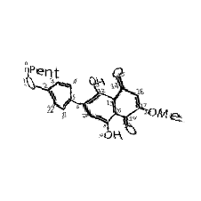 CCCCCOc1ccc(-c2cc(O)c3c(c2O)C(=O)C=C(OC)C3=O)cc1